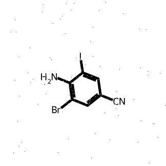 N#Cc1cc(Br)c(N)c(I)c1